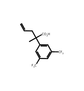 C=CCC(C)(C(=O)O)c1cc(C(F)(F)F)cc(C(F)(F)F)c1